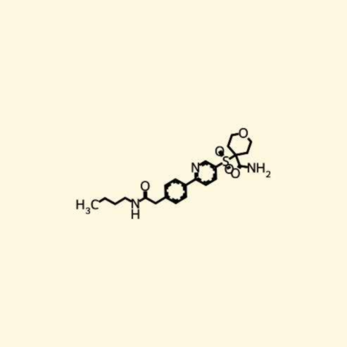 CCCCNC(=O)Cc1ccc(-c2ccc(S(=O)(=O)C3(C(N)=O)CCOCC3)cn2)cc1